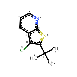 CC(C)(C)c1sc2ncccc2c1Cl